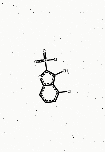 Cc1c(S(=O)(=O)Cl)sc2cccc(Cl)c12